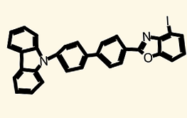 Ic1cccc2oc(-c3ccc(-c4ccc(-n5c6ccccc6c6ccccc65)cc4)cc3)nc12